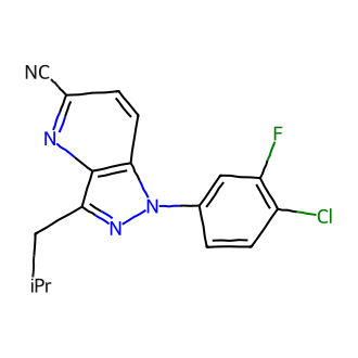 CC(C)Cc1nn(-c2ccc(Cl)c(F)c2)c2ccc(C#N)nc12